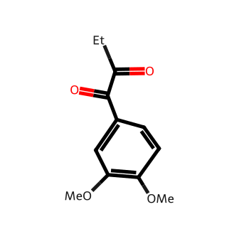 CCC(=O)C(=O)c1ccc(OC)c(OC)c1